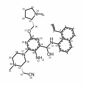 C=Cc1cccc2cccc(NC(O)c3nc(OC[C@@H]4CCCN4C)nc(N4CCN(C)[C@@H](CC#N)C4)c3N)c12